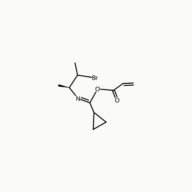 C=CC(=O)O/C(=N\[C@@H](C)C(C)Br)C1CC1